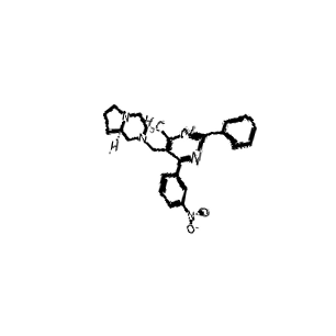 Cc1nc(-c2ccccc2)nc(-c2cccc([N+](=O)[O-])c2)c1CN1CCN2CCC[C@@H]2C1